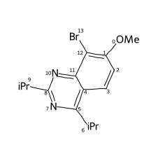 COc1ccc2c(C(C)C)nc(C(C)C)nc2c1Br